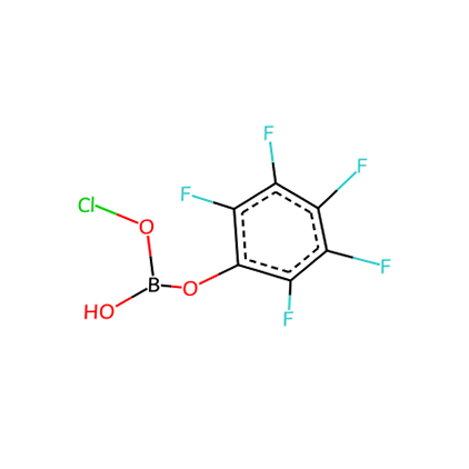 OB(OCl)Oc1c(F)c(F)c(F)c(F)c1F